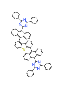 c1ccc(-c2nc(-c3ccccc3)nc(-c3c4ccccc4c(-c4cccc5c4sc4cccc(-c6c7ccccc7c(-c7nc(-c8ccccc8)nc(-c8ccccc8)n7)c7ccccc67)c45)c4ccccc34)n2)cc1